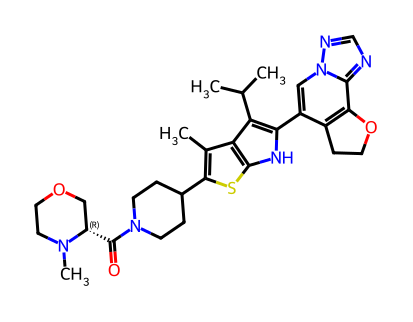 Cc1c(C2CCN(C(=O)[C@H]3COCCN3C)CC2)sc2[nH]c(-c3cn4ncnc4c4c3CCO4)c(C(C)C)c12